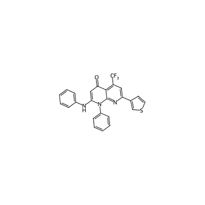 O=c1cc(Nc2ccccc2)n(-c2ccccc2)c2nc(-c3ccsc3)cc(C(F)(F)F)c12